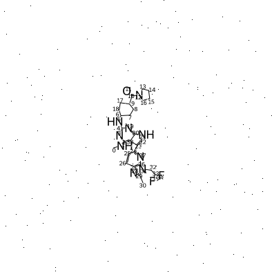 CNc1nc(NC2CCC(C(=O)N3CCCC3)CC2)nc2[nH]cc(-c3ccc4nc(C)n(CC(F)F)c4n3)c12